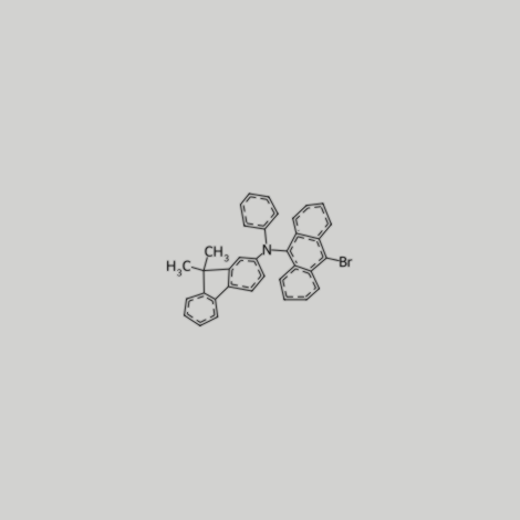 CC1(C)c2ccccc2-c2ccc(N(c3ccccc3)c3c4ccccc4c(Br)c4ccccc34)cc21